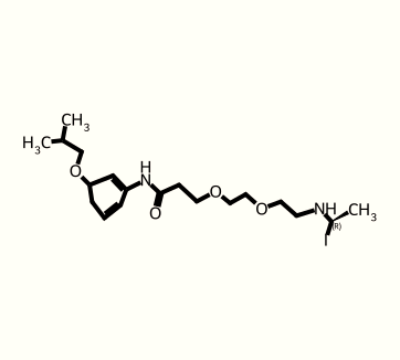 CC(C)COC1C=C(NC(=O)CCOCCOCCN[C@@H](C)I)C=CC1